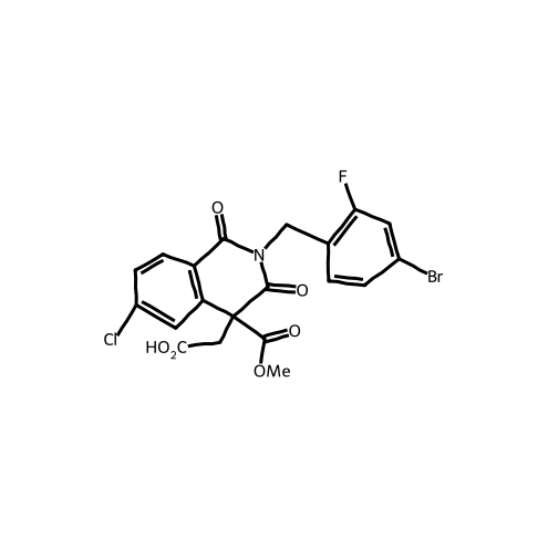 COC(=O)C1(CC(=O)O)C(=O)N(Cc2ccc(Br)cc2F)C(=O)c2ccc(Cl)cc21